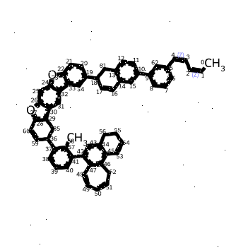 C/C=C\C=C/c1cccc(-c2ccc3c(c2)C=CC(c2ccc4oc5cc6oc7c(c6cc5c4c2)CC(c2cccc(-c4cc5c(c6c4C=CC=CC6)C=CCC5)c2C)C=C7)C3)c1